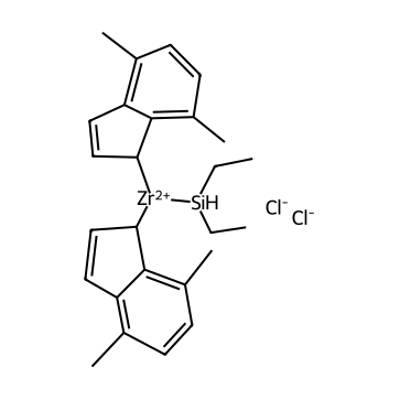 CC[SiH](CC)[Zr+2]([CH]1C=Cc2c(C)ccc(C)c21)[CH]1C=Cc2c(C)ccc(C)c21.[Cl-].[Cl-]